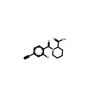 [C]#Cc1ccc(C(=O)N2CCCCC2C(=O)O)c(Cl)c1